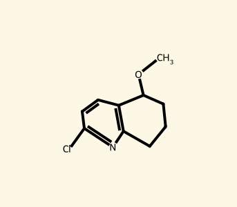 COC1CCCc2nc(Cl)ccc21